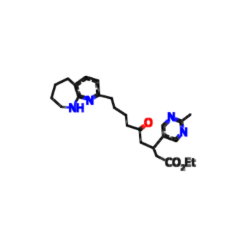 CCOC(=O)CC(CC(=O)CCCCc1ccc2c(n1)NCCCC2)c1cnc(C)nc1